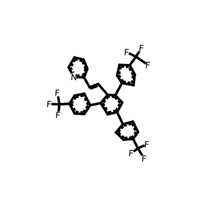 FC(F)(F)c1ccc(-c2cc(-c3ccc(C(F)(F)F)cc3)c(/C=C/c3ccccn3)c(-c3ccc(C(F)(F)F)cc3)c2)cc1